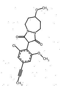 CC#Cc1cc(Cl)c(C2C(=O)N3CCC(OC)CCN3C2=O)c(OC)c1